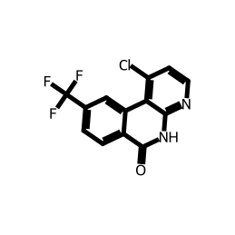 O=c1[nH]c2nccc(Cl)c2c2cc(C(F)(F)F)ccc12